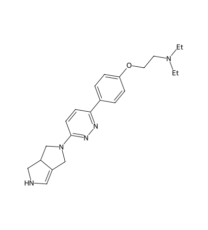 CCN(CC)CCOc1ccc(-c2ccc(N3CC4=CNCC4C3)nn2)cc1